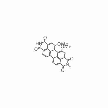 COc1cc2c3c(ccc4c5ccc6c7c(cc(OC)c(c1c34)c75)C(=O)N(C)C6=O)C(=O)NC2=O